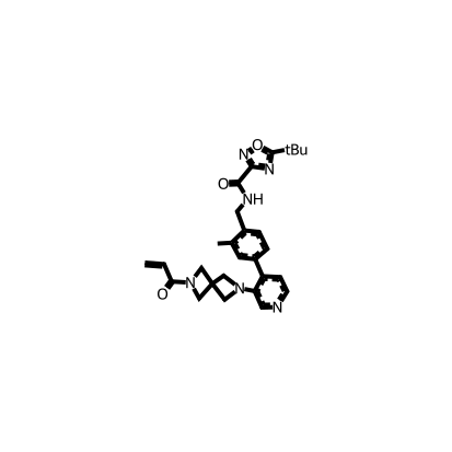 C=CC(=O)N1CC2(C1)CN(c1cnccc1-c1ccc(CNC(=O)c3noc(C(C)(C)C)n3)c(C)c1)C2